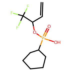 C=CC(OP(=O)(O)C1CCCCC1)C(F)(F)F